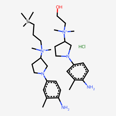 Cc1cc(N2CCC([N+](C)(C)CCC[Si](C)(C)C)C2)ccc1N.Cc1cc(N2CCC([N+](C)(C)CCO)C2)ccc1N.Cl